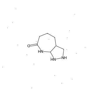 O=C1CCCC2CNNC2N1